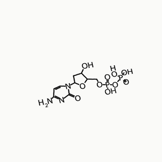 Nc1ccn(C2CC(O)C(COP(=O)(O)OP(=O)(O)O)O2)c(=O)n1